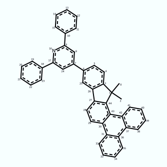 CC1(C)c2ccc(-c3cc(-c4ccccc4)nc(-c4ccccc4)c3)cc2-c2ccc3c4ccccc4c4ccccc4c3c21